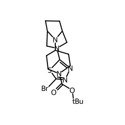 CC(C)(C)OC(=O)N1CCC(N2C3CCC2CN(c2nnc(Br)s2)C3)CC1